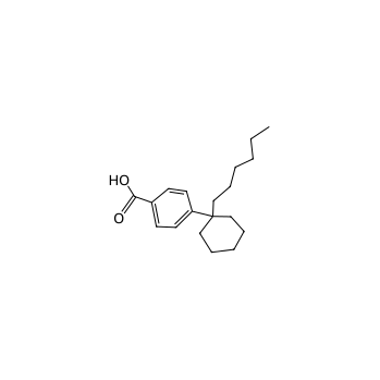 CCCCCCC1(c2ccc(C(=O)O)cc2)CCCCC1